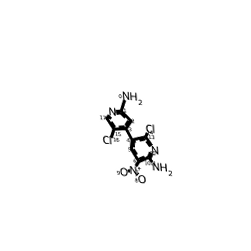 Nc1cc(-c2cc([N+](=O)[O-])c(N)nc2Cl)c(Cl)cn1